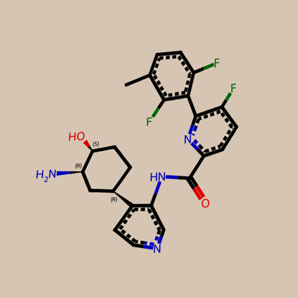 Cc1ccc(F)c(-c2nc(C(=O)Nc3cnccc3[C@@H]3CC[C@H](O)[C@H](N)C3)ccc2F)c1F